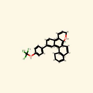 FC(F)(F)Oc1ccc(-c2ccc3c4c(c5ccc6c(c5c3c2)CCC=C6)OCC=C4)cc1